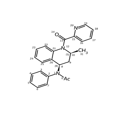 CC(=O)N(c1ccccc1)[C@@H]1C[C@H](C)N(C(=O)c2ccccn2)c2ccccc21